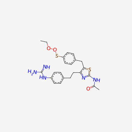 CCOOSc1ccc(Cc2sc(NC(C)=O)nc2CCc2ccc(NC(=N)N)cc2)cc1